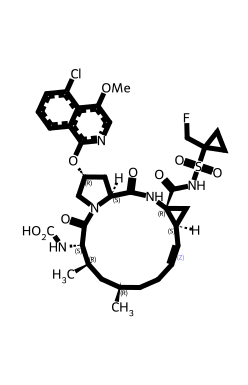 COc1cnc(O[C@@H]2C[C@H]3C(=O)N[C@]4(C(=O)NS(=O)(=O)C5(CF)CC5)C[C@H]4/C=C\CC[C@@H](C)C[C@@H](C)[C@H](NC(=O)O)C(=O)N3C2)c2cccc(Cl)c12